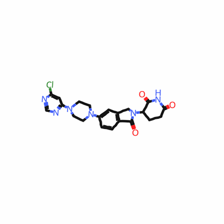 O=C1CCC(N2Cc3cc(N4CCN(c5cc(Cl)ncn5)CC4)ccc3C2=O)C(=O)N1